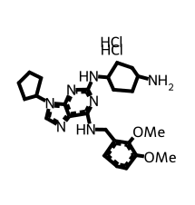 COc1cccc(CNc2nc(NC3CCC(N)CC3)nc3c2ncn3C2CCCC2)c1OC.Cl.Cl